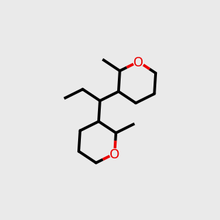 CCC(C1CCCOC1C)C1CCCOC1C